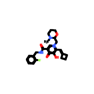 CN1CCCOC1Cn1cc(C(=O)NCc2ccccc2F)c(=O)c(O)c1C=C1CCC1